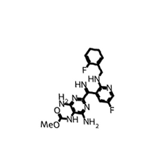 COC(=O)Nc1c(N)nc(C(=N)c2cc(F)cnc2NCC2=CCCC=C2F)nc1N